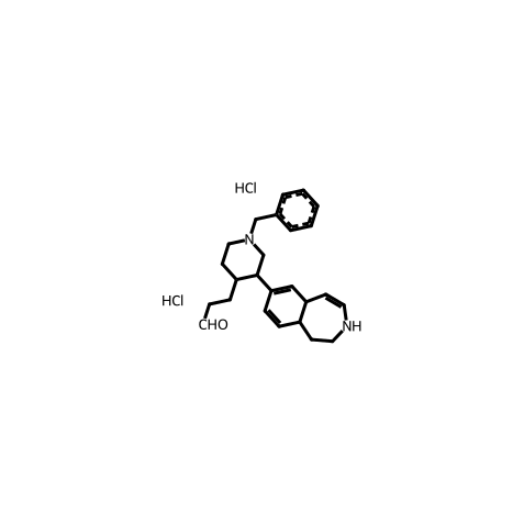 Cl.Cl.O=CCCC1CCN(Cc2ccccc2)CC1C1=CC2C=CNCCC2C=C1